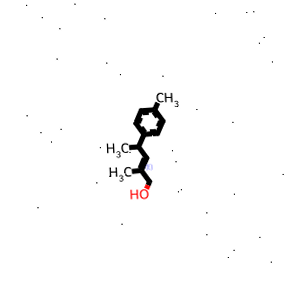 C/C(=C\C(C)c1ccc(C)cc1)CO